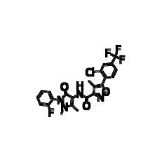 Cc1c(C(=O)Nc2c(C)n(C)n(-c3ccccc3F)c2=O)noc1-c1ccc(C(F)(F)F)cc1Cl